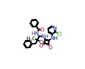 CC(C)(Cc1ccccc1)C(NC(=O)c1ccccc1)Nc1c(Nc2cccnc2Cl)c(=O)c1=O